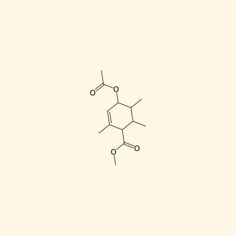 COC(=O)C1C(C)=CC(OC(C)=O)C(C)C1C